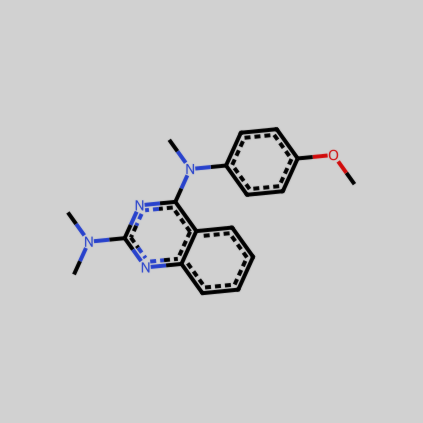 COc1ccc(N(C)c2nc(N(C)C)nc3ccccc23)cc1